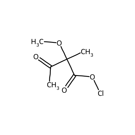 COC(C)(C(C)=O)C(=O)OCl